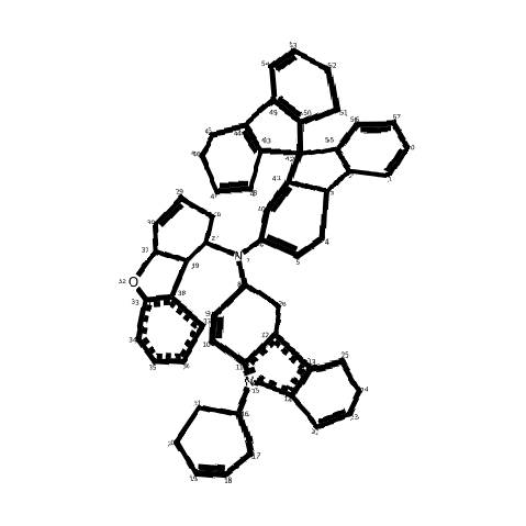 C1=CC2C3CC=C(N(C4C=Cc5c(c6c(n5C5CC=CCC5)C=CCC6)C4)C4CC=CC5Oc6ccccc6C54)C=C3C3(C4=C(CCC=C4)C4=C3CCC=C4)C2C=C1